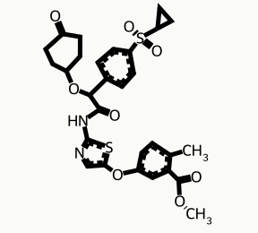 COC(=O)c1cc(Oc2cnc(NC(=O)C(OC3CCC(=O)CC3)c3ccc(S(=O)(=O)C4CC4)cc3)s2)ccc1C